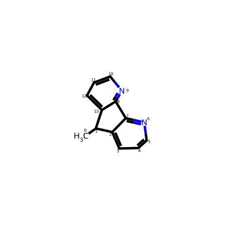 CC1c2cccnc2-c2ncccc21